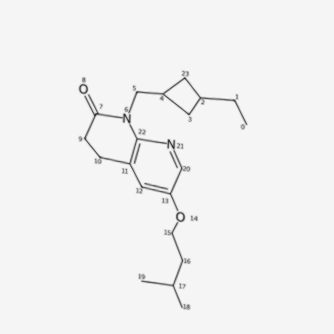 CCC1CC(CN2C(=O)CCc3cc(OCCC(C)C)cnc32)C1